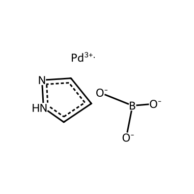 [O-]B([O-])[O-].[Pd+3].c1cn[nH]c1